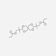 CCC(=O)OCC(C)(C)C1OCC2(CO1)COC(C(C)(C)COC(=O)CC)OC2